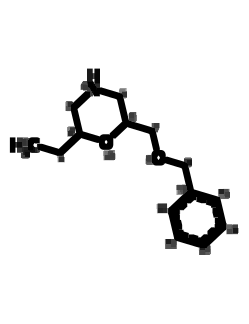 CCC1CNCC(COCc2ccccc2)O1